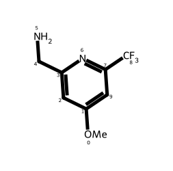 COc1cc(CN)nc(C(F)(F)F)c1